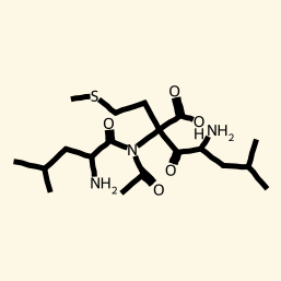 CSCCC(C(=O)O)(C(=O)C(N)CC(C)C)N(C(C)=O)C(=O)C(N)CC(C)C